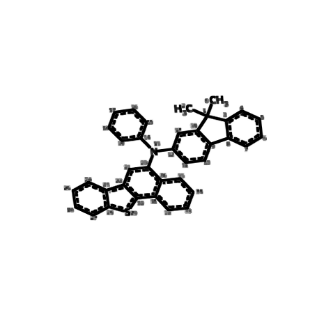 CC1(C)c2ccccc2-c2ccc(N(c3ccccc3)c3cc4c5ccccc5sc4c4ccccc34)cc21